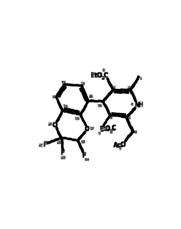 CCOC(=O)C1=C(C)NC(COC(C)=O)=C(C(=O)OCC)C1c1cccc2c1OC(F)C(F)(F)O2